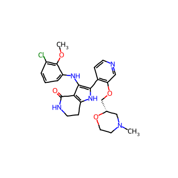 COc1c(Cl)cccc1Nc1c(-c2ccncc2OC[C@@H]2CN(C)CCO2)[nH]c2c1C(=O)NCC2